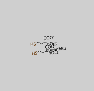 CCCCCCCCC(CCS)C(=O)[O-].CCCCCCCCC(CCS)C(=O)[O-].CCC[CH2][Sn+2][CH2]CCC